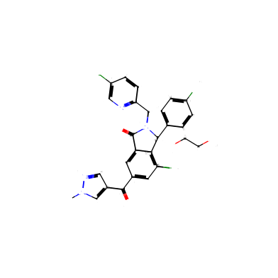 Cn1cc(C(=O)c2cc(F)c3c(c2)C(=O)N(Cc2ccc(Cl)cn2)[C@@]3(OCCO)c2ccc(Cl)cc2)cn1